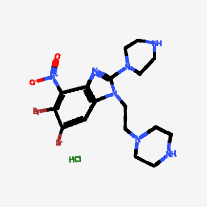 Cl.O=[N+]([O-])c1c(Br)c(Br)cc2c1nc(N1CCNCC1)n2CCN1CCNCC1